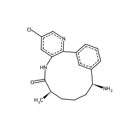 C[C@@H]1CCC[C@H](N)c2cccc(c2)-c2ncc(Cl)cc2NC1=O